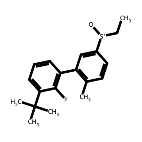 CC[S+]([O-])c1ccc(C)c(-c2cccc(C(C)(C)C)c2F)c1